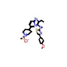 CCc1nc2ccc(C3CCN([S+](C)[O-])CC3)cn2c1N(C)c1nc(-c2ccc(OC)cc2)cs1